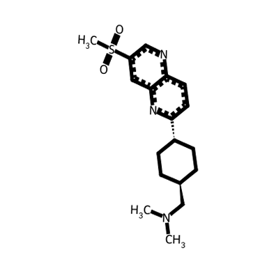 CN(C)C[C@H]1CC[C@H](c2ccc3ncc(S(C)(=O)=O)cc3n2)CC1